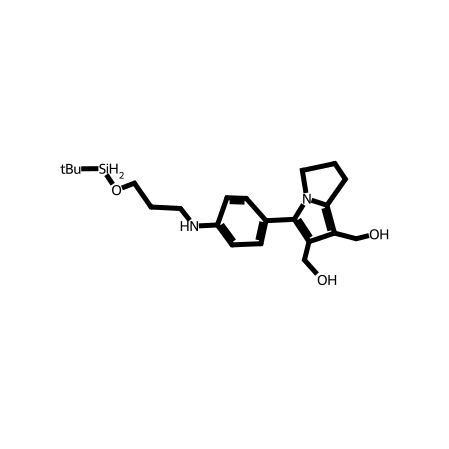 CC(C)(C)[SiH2]OCCCNc1ccc(-c2c(CO)c(CO)c3n2CCC3)cc1